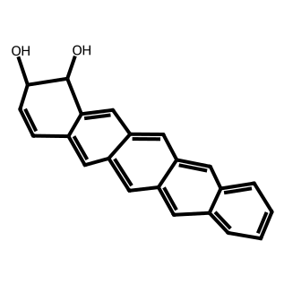 OC1C=Cc2cc3cc4cc5ccccc5cc4cc3cc2C1O